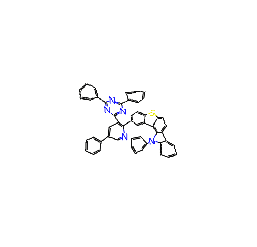 c1ccc(-c2cnc(-c3ccc4sc5ccc6c7ccccc7n(-c7ccccc7)c6c5c4c3)c(-c3nc(-c4ccccc4)nc(-c4ccccc4)n3)c2)cc1